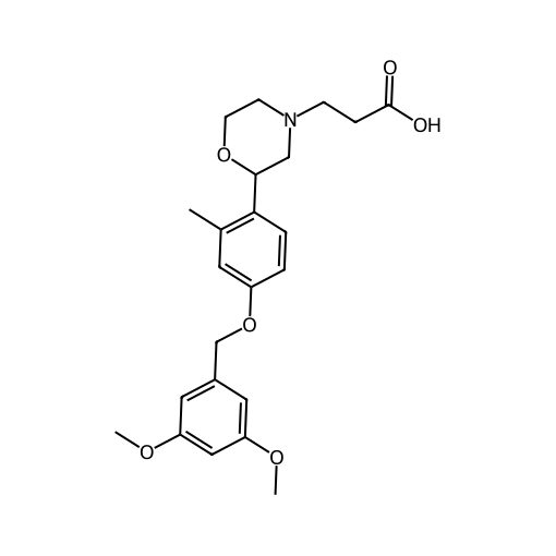 COc1cc(COc2ccc(C3CN(CCC(=O)O)CCO3)c(C)c2)cc(OC)c1